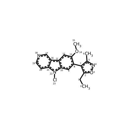 CCc1onc(C)c1-c1cc2c(cc1OC)c1cnccc1n2Cl